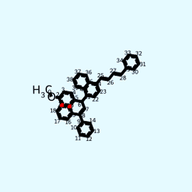 COc1ccc(C(C=C(c2ccccc2)c2ccccc2)c2ccc(/C=C/C=C/c3ccccc3)c3ccccc23)cc1